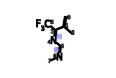 C=C(C)/C(=N\C=N/C)C(F)(F)F